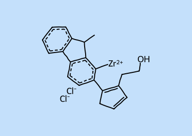 CC1c2ccccc2-c2ccc(C3=C(CCO)C=CC3)[c]([Zr+2])c21.[Cl-].[Cl-]